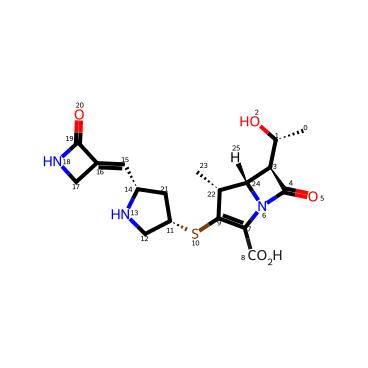 C[C@@H](O)[C@H]1C(=O)N2C(C(=O)O)=C(S[C@@H]3CN[C@H](/C=C4\CNC4=O)C3)[C@H](C)[C@H]12